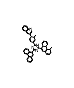 CC1CC=CC2=C1C1C=CC=CC1C(c1nc(C3=CC(C)C(c4cnc5ccccc5c4)C=C3)nc(-c3cc4ccccc4c4ccccc34)n1)=C2